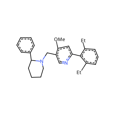 CCc1cccc(CC)c1-c1cc(OC)c(CN2CCCCC2c2ccccc2)cn1